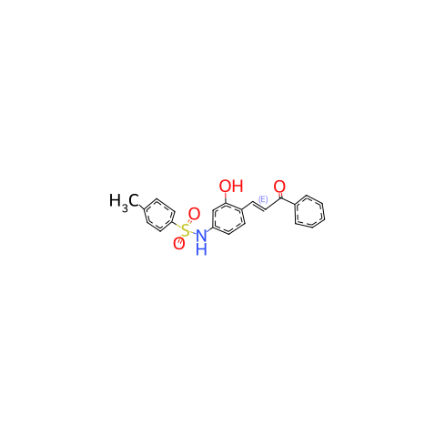 Cc1ccc(S(=O)(=O)Nc2ccc(/C=C/C(=O)c3ccccc3)c(O)c2)cc1